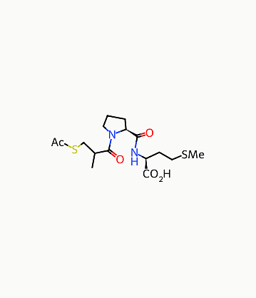 CSCC[C@H](NC(=O)[C@@H]1CCCN1C(=O)C(C)CSC(C)=O)C(=O)O